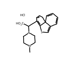 CN1CCN(C(C(=O)O)C2=C3SC=C4C=CC=CC43CC=C2)CC1.Cl